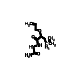 C=C.C=CCOC(CC)C(=O)NNC(N)=O